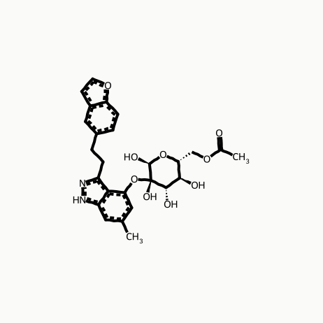 CC(=O)OC[C@H]1O[C@H](O)[C@@](O)(Oc2cc(C)cc3[nH]nc(CCc4ccc5occc5c4)c23)[C@@H](O)[C@@H]1O